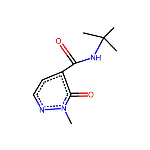 Cn1nccc(C(=O)NC(C)(C)C)c1=O